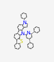 c1ccc(-c2cc(-c3ccccc3)nc(-n3c4c(ccc5c4ccn5-c4ccccc4)c4ccc5c6ccccc6sc5c43)c2)cc1